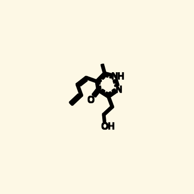 C=C/C=C\c1c(C)[nH]nc(CCO)c1=O